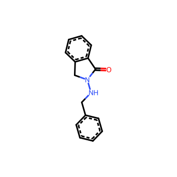 O=C1c2ccccc2CN1NCc1ccccc1